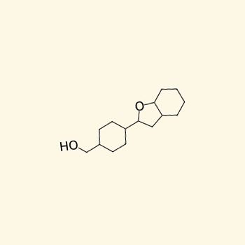 OCC1CCC(C2CC3CCCCC3O2)CC1